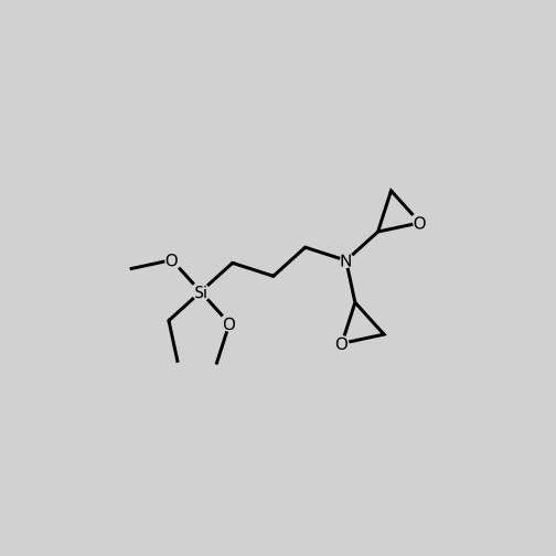 CC[Si](CCCN(C1CO1)C1CO1)(OC)OC